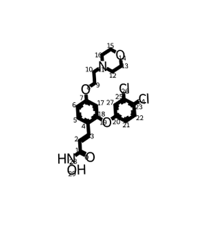 O=C(C=Cc1ccc(OCCN2CCOCC2)cc1Oc1ccc(Cl)c(Cl)c1)NO